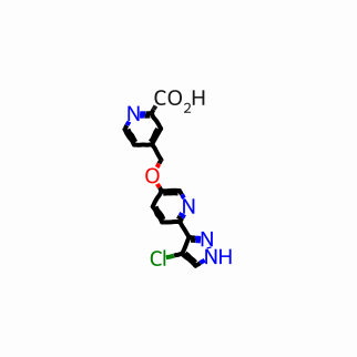 O=C(O)c1cc(COc2ccc(-c3n[nH]cc3Cl)nc2)ccn1